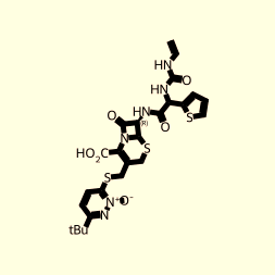 C=CNC(=O)NC(C(=O)N[C@@H]1C(=O)N2C(C(=O)O)=C(CSc3ccc(C(C)(C)C)n[n+]3[O-])CSC12)c1cccs1